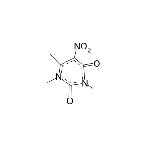 Cc1c([N+](=O)[O-])c(=O)n(C)c(=O)n1C